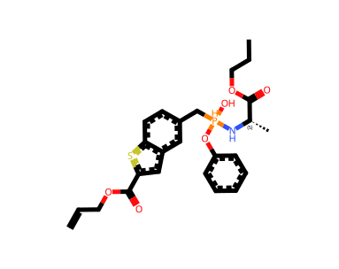 C=CCOC(=O)c1cc2cc(C[PH](O)(N[C@@H](C)C(=O)OCCC)Oc3ccccc3)ccc2s1